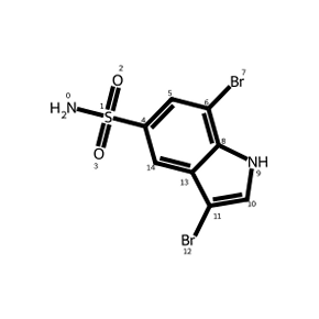 NS(=O)(=O)c1cc(Br)c2[nH]cc(Br)c2c1